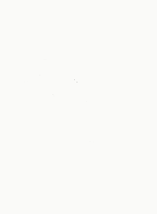 CC(C)C1Cc2c(oc3c(-c4ccco4)cccc23)-c2cc(=O)c(C(=O)O)cn21